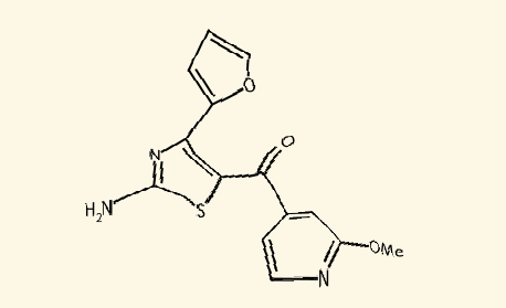 COc1cc(C(=O)c2sc(N)nc2-c2ccco2)ccn1